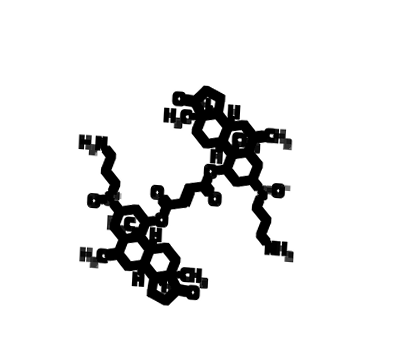 C=C1C[C@@H]2[C@@H](CC[C@]3(C)C(=O)CC[C@@H]23)[C@@]2(C)C(OC(=O)/C=C/C(=O)OC3CC([S+]([O-])CCCN)CC4C(=C)C[C@@H]5[C@@H](CC[C@]6(C)C(=O)CC[C@@H]56)[C@@]34C)CC([S+]([O-])CCCN)CC12